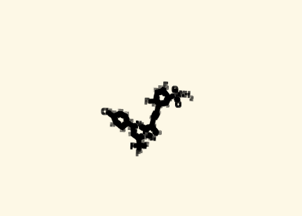 NS(=O)(=O)c1cc(C#Cc2cnn3c(C(F)(F)F)cc(-c4ccc(Cl)cc4)nc23)c(F)cc1F